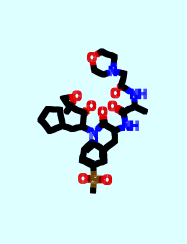 CC(NC(=O)CN1CCOCC1)C(=O)NC(Cc1cccc(S(C)(=O)=O)c1)C(=O)NC(CC1CCCC1)C(=O)C1(C)CO1